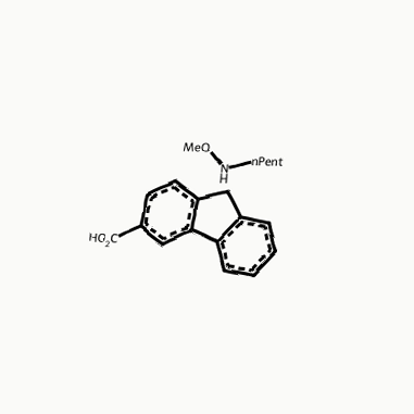 CCCCCNOC.O=C(O)c1ccc2c(c1)-c1ccccc1C2